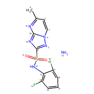 Cc1ccn2nc(S(=O)(=O)Nc3c(F)cccc3F)nc2n1.N